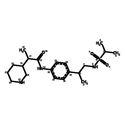 CC(CNS(=O)(=O)C(C)C)c1ccc(NC(=O)C(C)C2CCCNC2)cc1